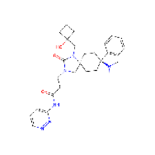 CN(C)[C@]1(c2ccccc2)CC[C@]2(CC1)CN(CCC(=O)Nc1cccnn1)C(=O)N2CC1(O)CCC1